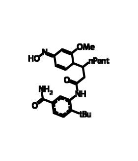 CCCCCC(CC(=O)Nc1cc(C(N)=O)ccc1C(C)(C)C)C1C=C/C(=N\O)C=C1OC